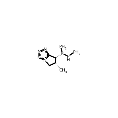 C[C@@H]1Cn2nnnc2[C@@H]1P(P)PP